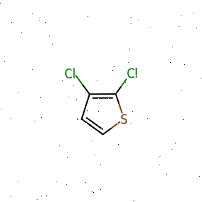 Clc1[c]csc1Cl